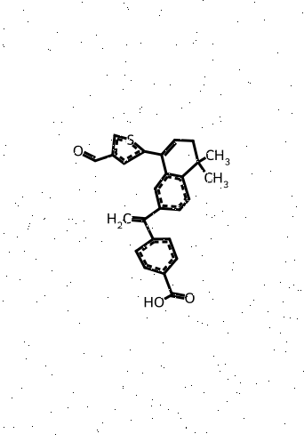 C=C(c1ccc(C(=O)O)cc1)c1ccc2c(c1)C(c1cc(C=O)cs1)=CCC2(C)C